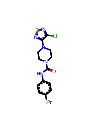 CC(C)c1ccc(NC(=O)N2CCN(c3nsnc3Cl)CC2)cc1